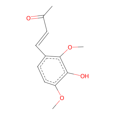 COc1ccc(C=CC(C)=O)c(OC)c1O